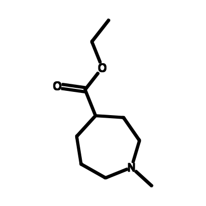 CCOC(=O)C1CCCN(C)CC1